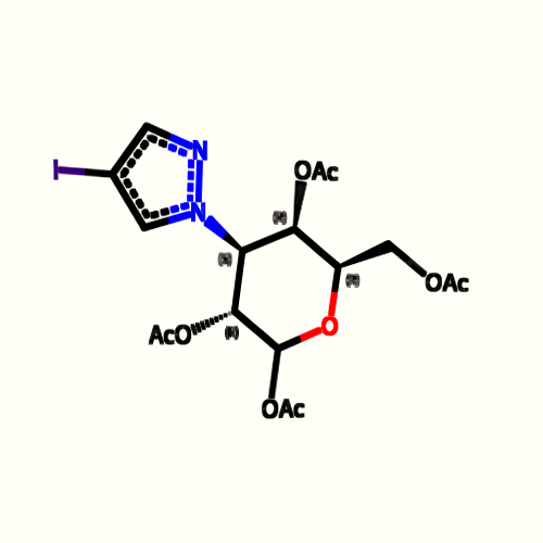 CC(=O)OC[C@H]1OC(OC(C)=O)[C@H](OC(C)=O)[C@@H](n2cc(I)cn2)[C@H]1OC(C)=O